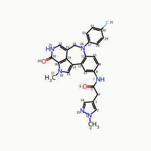 Cn1cc(CC(=O)Nc2ccc3c(c2)-c2cn(C)c4c(=O)[nH]cc(c24)CN3c2ccc(F)cc2)cn1